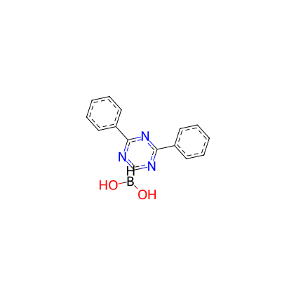 OBO.c1ccc(-c2ncnc(-c3ccccc3)n2)cc1